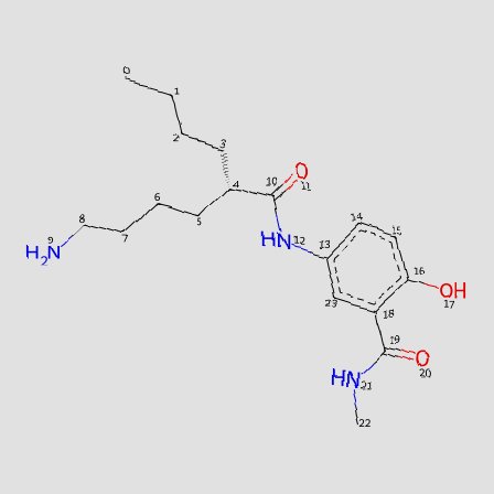 CCCC[C@@H](CCCCN)C(=O)Nc1ccc(O)c(C(=O)NC)c1